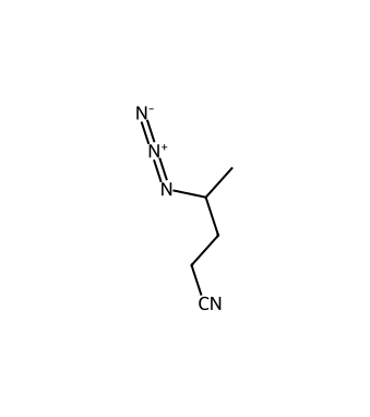 CC(CCC#N)N=[N+]=[N-]